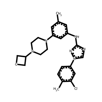 Cc1cc(Nc2ncn(-c3ccc(C)c(Cl)c3)n2)cc(N2CCN(C3COC3)CC2)c1